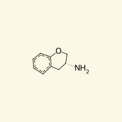 N[C@H]1COc2ccccc2C1